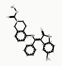 CC(C)(C)OC(=O)N1CCc2c(cccc2N/C(=C2\C(=O)Nc3ccc([N+](=O)[O-])cc32)c2ccccc2)C1